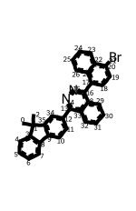 CC1(C)c2ccccc2-c2ccc(-c3nnc(-c4ccc(Br)c5ccccc45)c4ccccc34)cc21